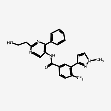 Cn1ccc(-c2cc(C(=O)Nc3cnc(CCO)nc3-c3ccccc3)ccc2C(F)(F)F)n1